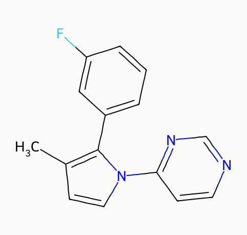 Cc1ccn(-c2ccncn2)c1-c1cccc(F)c1